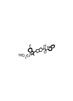 Cc1c(C2CC3CC(NC(=O)c4ccc5ccccc5n4)CC3C2)c2cc(F)ccc2n1CC(=O)O